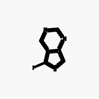 Ic1scc2ncncc12